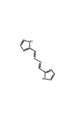 C(=NN=Cc1ccc[nH]1)c1ccc[nH]1